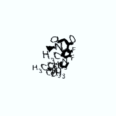 Cc1c(N2CCC(O[Si](C)(C)C(C)(C)C)C2)c(F)c(F)c2c(C=O)cc(=O)n(C3CC3)c12